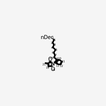 CCCCCCCCCCCCCCCCCCC1C2C=CC(C2)C1N1C(=O)C=C(C)C1=O